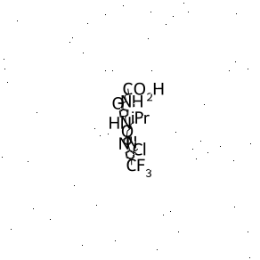 CC(C)CC(COc1cnc(-c2ccc(C(F)(F)F)cc2Cl)nc1)Nc1ccc(C(=O)NCCC(=O)O)cc1